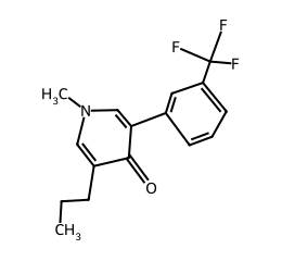 CCCc1cn(C)cc(-c2cccc(C(F)(F)F)c2)c1=O